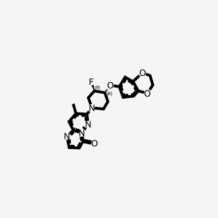 Cc1cc2nccc(=O)n2nc1N1CC[C@@H](Oc2ccc3c(c2)OCCO3)[C@H](F)C1